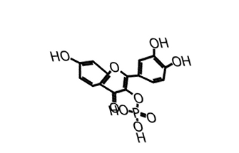 O=c1c(OP(=O)(O)O)c(-c2ccc(O)c(O)c2)oc2cc(O)ccc12